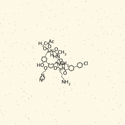 CC(=O)[C@H](C)OC(=O)[C@@H]1Cc2ccc(O)c(c2)-c2cc(ccc2OCCn2ccnc2)[C@H](N(C)C(=O)[C@H](CCCCN)NC(=O)c2ccc(-c3ccc(Cl)cc3)cc2)C(=O)N[C@@H](C)C(=O)N1